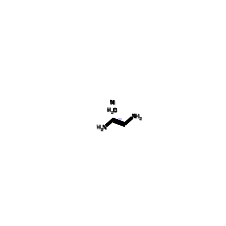 N/C=C/N.O.[Ni]